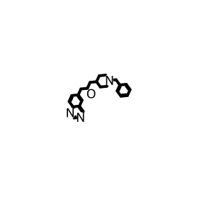 O=C(Cc1ccc2ncncc2c1)CC1CCN(Cc2ccccc2)CC1